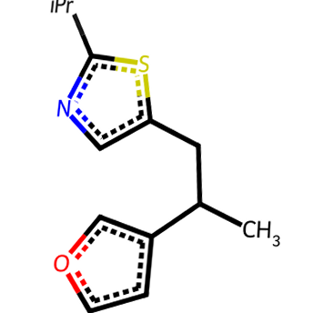 CC(C)c1ncc(CC(C)c2ccoc2)s1